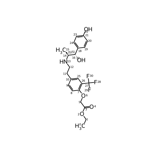 CCOC(=O)COc1ccc(CCN[C@@H](C)[C@@H](O)c2ccc(O)cc2)cc1C(F)(F)F